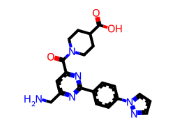 NCc1cc(C(=O)N2CCC(C(=O)O)CC2)nc(-c2ccc(-n3cccn3)cc2)n1